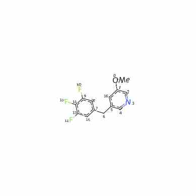 COc1cncc(Cc2[c]c(F)c(F)c(F)c2)c1